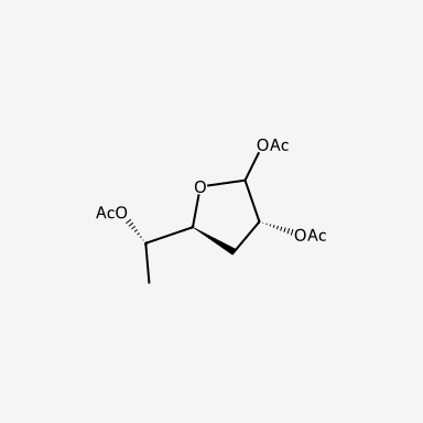 CC(=O)OC1O[C@H]([C@H](C)OC(C)=O)C[C@H]1OC(C)=O